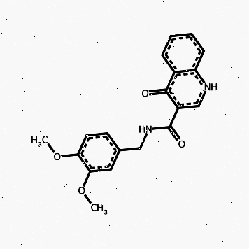 COc1ccc(CNC(=O)c2c[nH]c3ccccc3c2=O)cc1OC